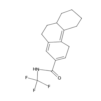 O=C(NC(F)(F)F)C1=CCC2=C3CCCCC3CCC2=C1